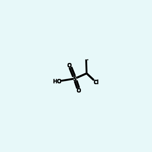 [CH2]C(Cl)S(=O)(=O)O